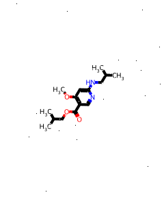 COc1cc(NCC(C)C)ncc1C(=O)OCC(C)C